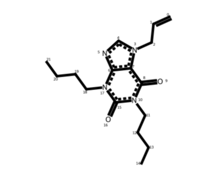 C=CCn1cnc2c1c(=O)n(CCCC)c(=O)n2CCCC